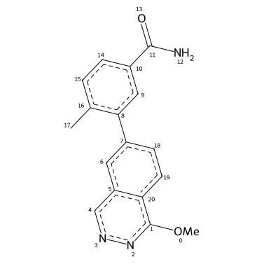 COc1nncc2cc(-c3cc(C(N)=O)ccc3C)ccc12